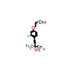 CCCCCCCCCCCCOc1ccc(C#CC(C)(C)O)c(F)c1